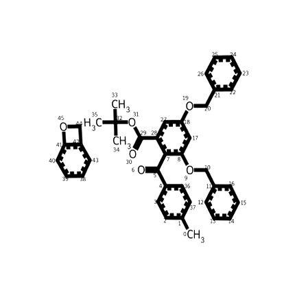 Cc1ccc(C(=O)c2c(OCc3ccccc3)cc(OCc3ccccc3)cc2C(=O)OC(C)(C)C)cc1.c1ccc2c(c1)CO2